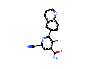 Cc1c(C(N)=O)cc(C#N)nc1-c1ccc2ncccc2c1